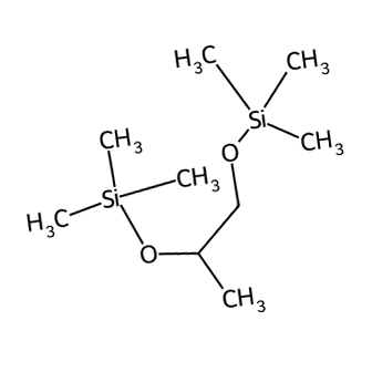 CC(CO[Si](C)(C)C)O[Si](C)(C)C